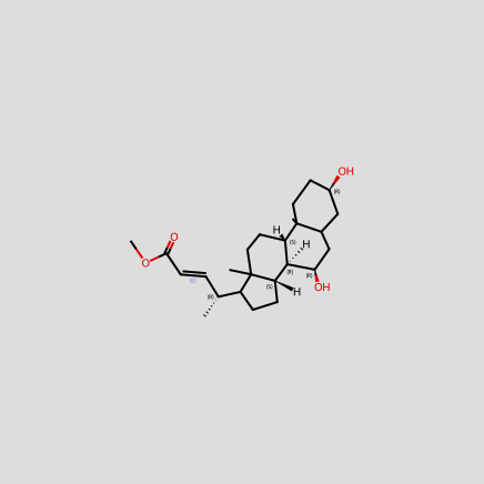 COC(=O)/C=C/[C@@H](C)C1CC[C@H]2[C@@H]3[C@H](O)CC4C[C@H](O)CCC4(C)[C@H]3CCC12C